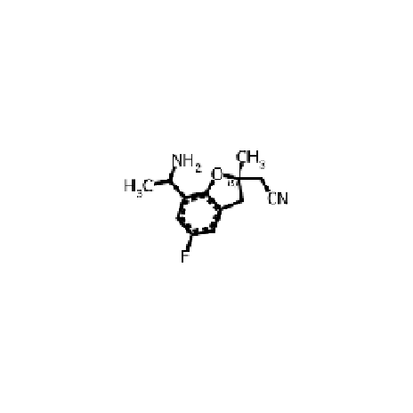 CC(N)c1cc(F)cc2c1O[C@](C)(CC#N)C2